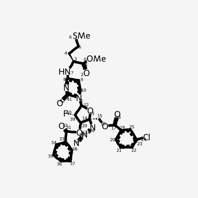 COC(=O)[C@H](CCSC)Nc1ccn(C2O[C@@](COC(=O)c3cccc(Cl)c3)(N=[N+]=[N-])C(OC(=O)c3ccccc3)[C@@H]2F)c(=O)n1